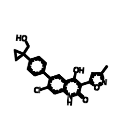 Cc1cc(-c2c(O)c3cc(-c4ccc(C5(CO)CC5)cc4)c(Cl)cc3[nH]c2=O)on1